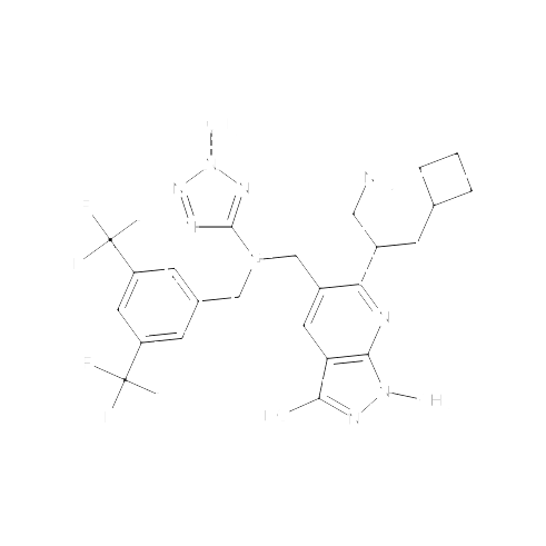 Cc1nn(C)c2nc(C(CN)CC3CCC3)c(CN(Cc3cc(C(F)(F)F)cc(C(F)(F)F)c3)c3nnn(C)n3)cc12